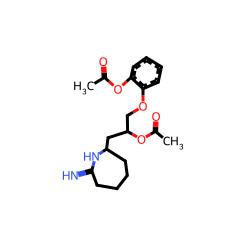 CC(=O)Oc1ccccc1OCC(CC1CCCCC(=N)N1)OC(C)=O